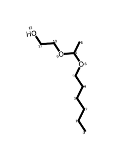 CCCCCCOC(C)OCCO